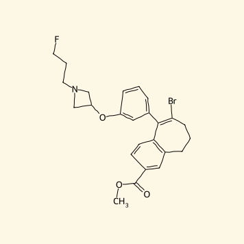 COC(=O)c1ccc2c(c1)CCCC(Br)=C2c1cccc(OC2CN(CCCF)C2)c1